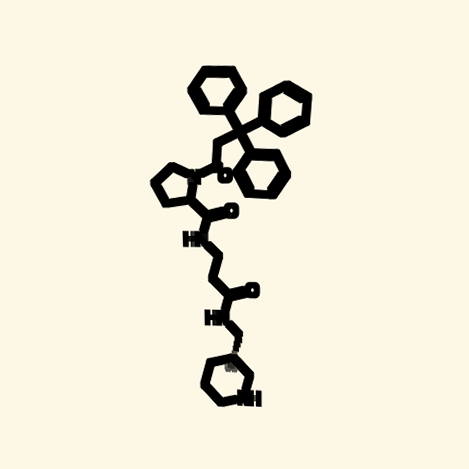 O=C(CCNC(=O)C1CCCN1C(=O)CC(c1ccccc1)(c1ccccc1)c1ccccc1)NC[C@H]1CCCNC1